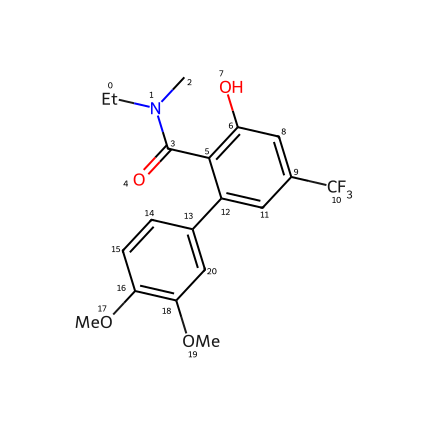 CCN(C)C(=O)c1c(O)cc(C(F)(F)F)cc1-c1ccc(OC)c(OC)c1